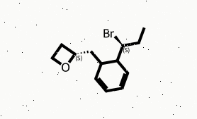 CC[C@H](Br)C1C=CC=CC1C[C@H]1CCO1